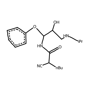 CCCCC(C#N)C(=O)NC(Oc1ccccc1)C(O)CNC(C)C